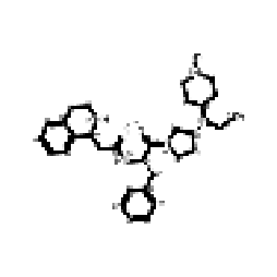 CC(C)CN(C1CCN(C(C)C)CC1)[C@@H]1CCN(C(=O)[C@@H](Cc2ccccc2)NC(=O)CC2NCCc3ccccc32)C1